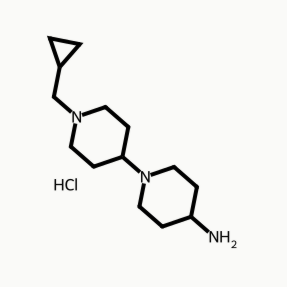 Cl.NC1CCN(C2CCN(CC3CC3)CC2)CC1